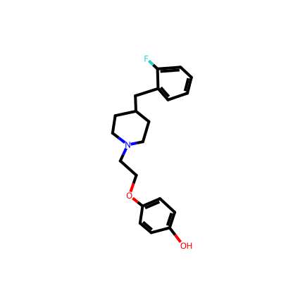 Oc1ccc(OCCN2CCC(Cc3ccccc3F)CC2)cc1